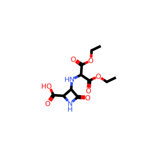 CCOC(=O)C(NC1C(=O)NC1C(=O)O)C(=O)OCC